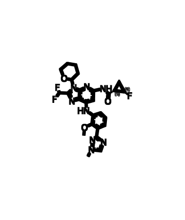 COc1c(Nc2cc(NC(=O)[C@@H]3C[C@@H]3F)nc3c2nc(C(F)F)n3C2CCCCO2)cccc1-c1ncn(C)n1